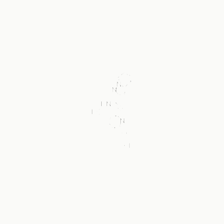 CC(NC(=O)c1cc2ccccn2n1)c1ccc(OCC(F)(F)F)nc1